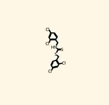 S=C(NCc1ccc(Cl)cc1Cl)SCc1ccc(Cl)cc1Cl